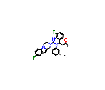 CCC(=O)CC1c2cccc(F)c2N=C(N2CCn3c(cc4cc(F)ccc43)C2)N1c1cccc(C(F)(F)F)c1